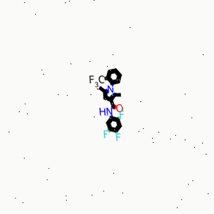 Cc1cc(C(=O)Nc2cc(F)c(F)cc2F)c(C)n1-c1ccccc1C(F)(F)F